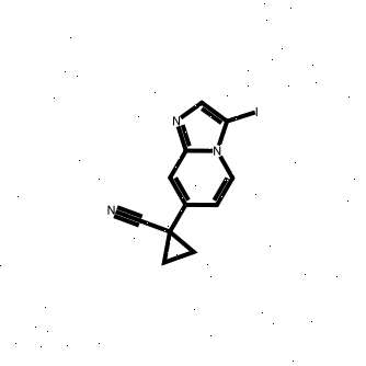 N#CC1(c2ccn3c(I)cnc3c2)CC1